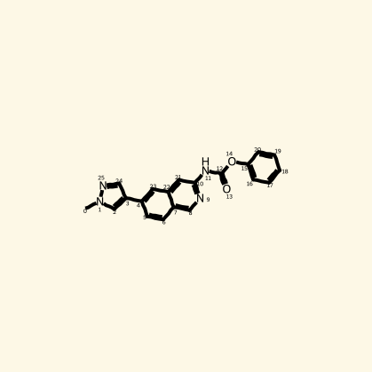 Cn1cc(-c2ccc3cnc(NC(=O)Oc4ccccc4)cc3c2)cn1